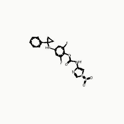 O=C(NC1=CS(=S(=O)=O)C=N1)Oc1c(F)cc(NC2(c3ccccc3)CC2)cc1F